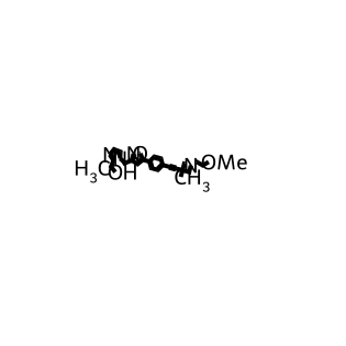 COCCN1CC(C)(C#Cc2ccc(-c3cc(Cn4ccnc4[C@H](C)O)no3)cc2)C1